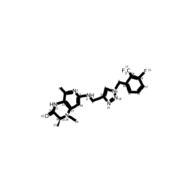 Cc1nc(NCc2cn(Cc3cccc(F)c3C(F)(F)F)nn2)cc2c1NC(=O)[C@H](C)N2C